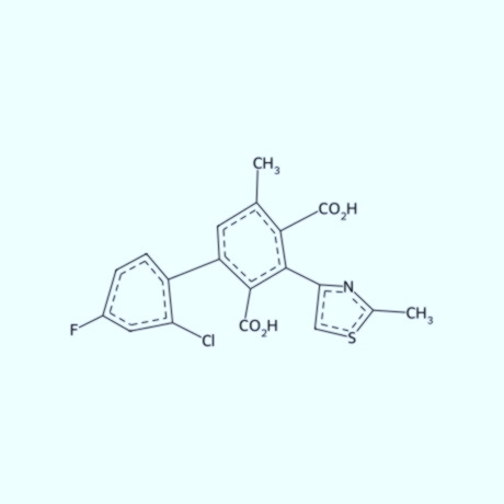 Cc1nc(-c2c(C(=O)O)c(C)cc(-c3ccc(F)cc3Cl)c2C(=O)O)cs1